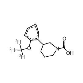 [2H]C([2H])([2H])Oc1ccccc1C1CCCN(C(=O)O)C1